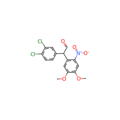 COc1cc(C(C=O)c2ccc(Cl)c(Cl)c2)c([N+](=O)[O-])cc1OC